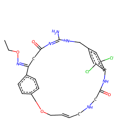 CCON=C1CC(=O)/N=C(/N)NCc2cc(Cl)c(c(Cl)c2)NC(=O)CNC/C=C/COc2ccc1cc2